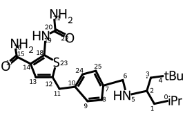 [CH2]C(C)CC([CH]C(C)(C)C)NCc1ccc(Cc2cc(C(N)=O)c(NC(N)=O)s2)cc1